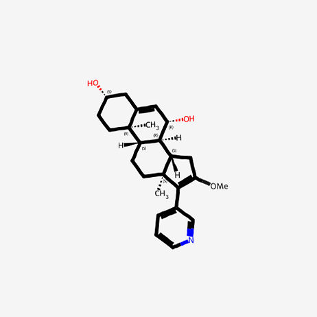 COC1=C(c2cccnc2)[C@@]2(C)CC[C@H]3[C@@H]([C@@H](O)C=C4C[C@@H](O)CC[C@@]43C)[C@@H]2C1